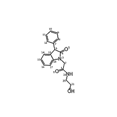 O=C(CN1C(=O)C(c2ccccc2)c2ccccc21)NCCO